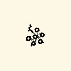 C=C/C=C(C)\C=C\N(c1ccccc1)c1c(F)c(N(c2ccccc2)c2cccc(C)c2)c(F)c(N(c2ccccc2)c2cccc(C)c2)c1P